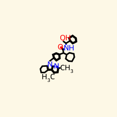 Cc1cc(C)c2c3c(n(Cc4ccc(C(C(=O)NC(CO)c5ccccc5)C5CCCCCC5)cc4)c2n1)CCCC3